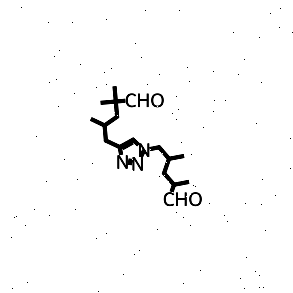 CC(C=O)CC(C)Cn1cc(CC(C)CC(C)(C)C=O)nn1